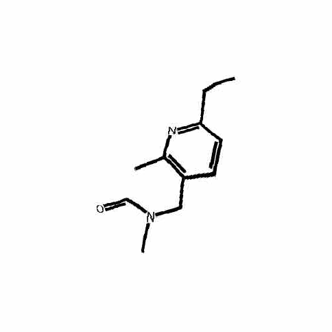 CCc1ccc(CN(C)C=O)c(C)n1